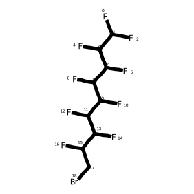 FC(F)C(F)C(F)C(F)C(F)C(F)C(F)C(F)CBr